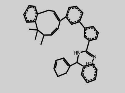 CN/N=C(\NC(C1=CC=CCC1)c1ccccc1)c1cccc(-c2cccc(C3=C/Cc4ccccc4C(C)(C)C(C)/C=C\3)c2)c1